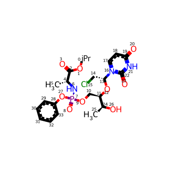 CC(C)OC(=O)[C@@H](C)N[P@@](=O)(OC[C@@H](O[C@H](CCl)n1ccc(=O)[nH]c1=O)[C@H](C)O)Oc1ccccc1